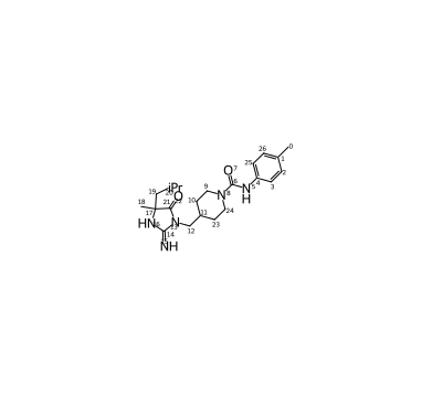 Cc1ccc(NC(=O)N2CCC(CN3C(=N)NC(C)(CC(C)C)C3=O)CC2)cc1